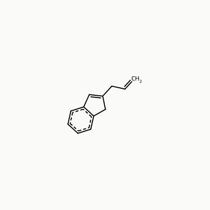 C=CCC1=Cc2ccccc2C1